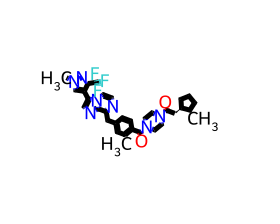 Cc1cc(Cc2nccn3c(-c4cn(C)nc4C(F)(F)F)cnc23)ccc1C(=O)N1CCN(C(=O)C[C@@H]2CCC[C@H]2C)CC1